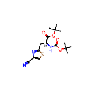 CC(C)(C)OC(=O)N[C@@H](Cc1nc(C#N)cs1)C(=O)OC(C)(C)C